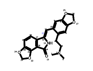 CN(C)CCc1cc2c(cc1/C=C1\NC(=O)c3c1ccc1c3OCO1)OCO2